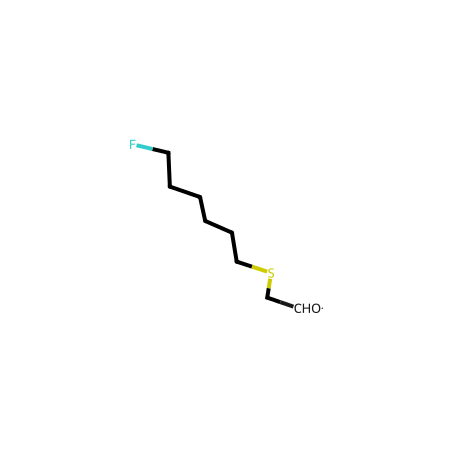 O=[C]CSCCCCCCF